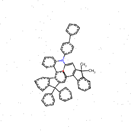 CC1(C)C2=C(CCC(N(c3ccc(-c4ccccc4)cc3)c3ccccc3-c3cccc4c3-c3ccccc3C4(c3ccccc3)c3ccccc3)=C2)c2ccccc21